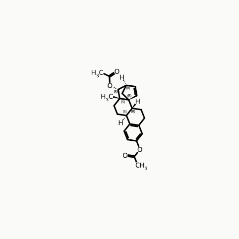 CC(=O)Oc1ccc2c(c1)CC[C@@H]1[C@@H]2CC[C@]2(C)[C@H](OC(C)=O)[C@H]3C=C[C@@]12C3